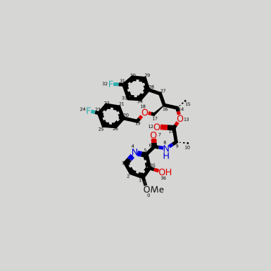 COc1ccnc(C(=O)N[C@@H](C)C(=O)O[C@@H](C)[C@@H](COCc2ccc(F)cc2)Cc2ccc(F)cc2)c1O